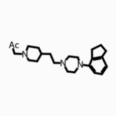 CC(=O)CN1CCC(CCN2CCN(c3cccc4c3CCC4)CC2)CC1